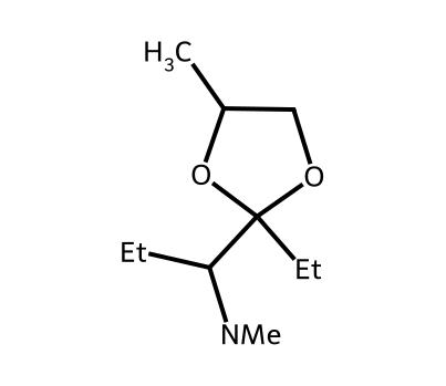 CCC(NC)C1(CC)OCC(C)O1